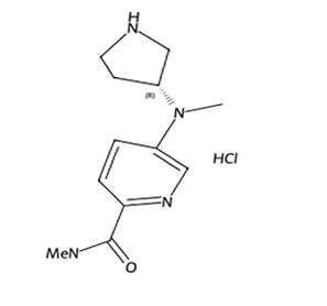 CNC(=O)c1ccc(N(C)[C@@H]2CCNC2)cn1.Cl